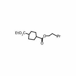 CCOC(=O)C1CCC(C(=O)OCCC(C)C)CC1